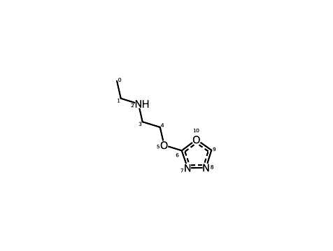 CCNCCOc1nnco1